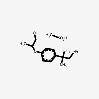 CC(CO)Oc1ccc(C(C)(C)CC(C)(C)C)cc1.CS(=O)(=O)O